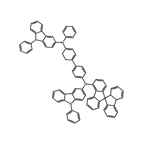 C1=CC2c3ccccc3C3(c4ccccc4-c4c(N(c5ccc(C6=CC=C(N(c7ccccc7)c7ccc8c(c7)c7ccccc7n8-c7ccccc7)CC6)cc5)c5ccc6c(c5)c5ccccc5n6-c5ccccc5)cccc43)C2C=C1